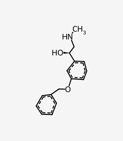 CNC[C@H](O)c1cccc(OCc2ccccc2)c1